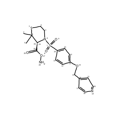 CC1(C)SCCN(S(=O)(=O)c2ccc(OCc3ccncc3)cc2)[C@H]1C(=O)ON